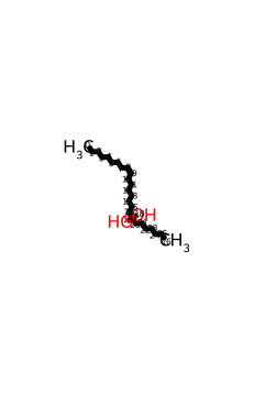 CCCCCCCC/C=C\CCCCCCCC(O)(O)CCCCCCC